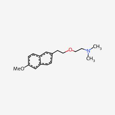 COc1ccc2cc(CCOCCN(C)C)ccc2c1